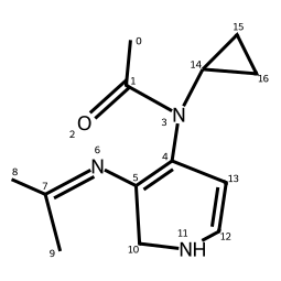 CC(=O)N(C1=C(N=C(C)C)CNC=C1)C1CC1